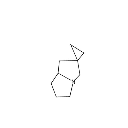 C1CC2CC3(CC3)CN2C1